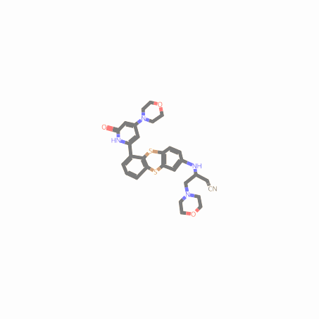 N#CCC(CN1CCOCC1)Nc1ccc2c(c1)Sc1cccc(-c3cc(N4CCOCC4)cc(=O)[nH]3)c1S2